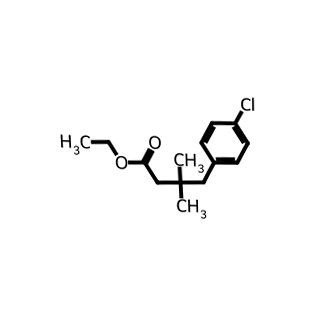 CCOC(=O)CC(C)(C)Cc1ccc(Cl)cc1